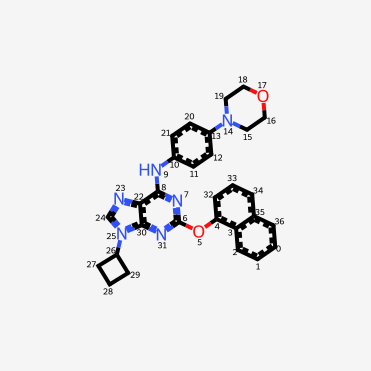 c1ccc2c(Oc3nc(Nc4ccc(N5CCOCC5)cc4)c4ncn(C5CCC5)c4n3)cccc2c1